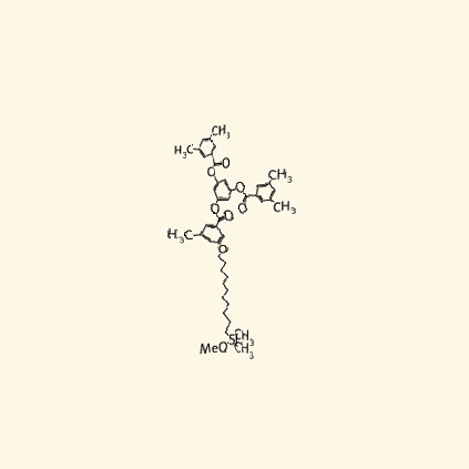 CO[Si](C)(C)CCCCCCCCCCCOc1cc(C)cc(C(=O)Oc2cc(OC(=O)c3cc(C)cc(C)c3)cc(OC(=O)c3cc(C)cc(C)c3)c2)c1